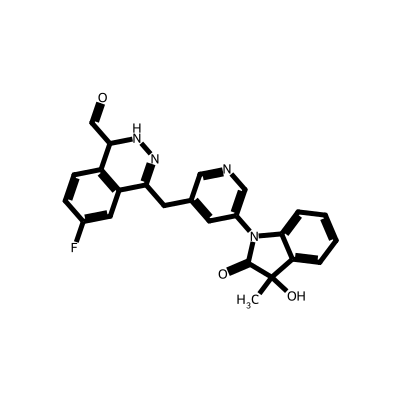 CC1(O)C(=O)N(c2cncc(CC3=NNC(C=O)c4ccc(F)cc43)c2)c2ccccc21